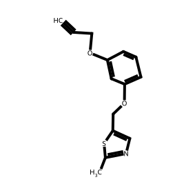 C#CCOc1cccc(OCc2cnc(C)s2)c1